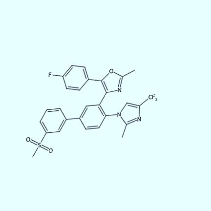 Cc1nc(-c2cc(-c3cccc(S(C)(=O)=O)c3)ccc2-n2cc(C(F)(F)F)nc2C)c(-c2ccc(F)cc2)o1